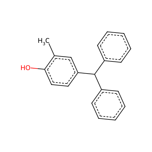 Cc1cc(C(c2ccccc2)c2ccccc2)ccc1O